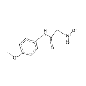 COc1ccc(NC(=O)C[N+](=O)[O-])cc1